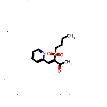 CCCCS(=O)(=O)/C(=C\c1ccccn1)C(C)=O